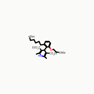 CCCCCCCCCCCCCCCc1cccc(OCCOC)c1C1C(C(=O)OCC)=C(C)NC(C)=C1C(=O)OCC